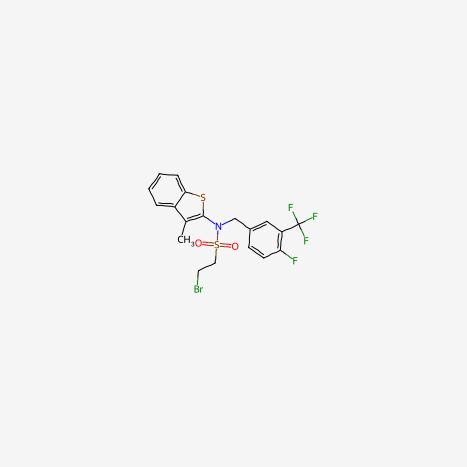 Cc1c(N(Cc2ccc(F)c(C(F)(F)F)c2)S(=O)(=O)CCBr)sc2ccccc12